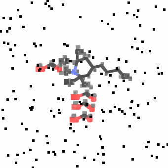 CCCCC1CC(C)(C)N(C)C(C)(C)C1.O=CO.O=CO.O=CO.O=CO